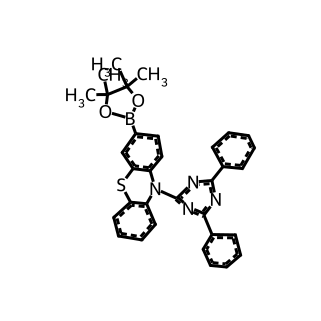 CC1(C)OB(c2ccc3c(c2)Sc2ccccc2N3c2nc(-c3ccccc3)nc(-c3ccccc3)n2)OC1(C)C